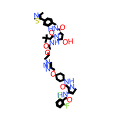 Cc1ncsc1-c1ccc(CNC(=O)[C@@H]2C[C@@H](O)CN2C(=O)[C@@H](NC(=O)COCCn2cc(CO[C@H]3CC[C@H](NC(=O)C4=NCC=C4NC(=O)c4c(F)cccc4F)CC3)nn2)C(C)(C)C)cc1